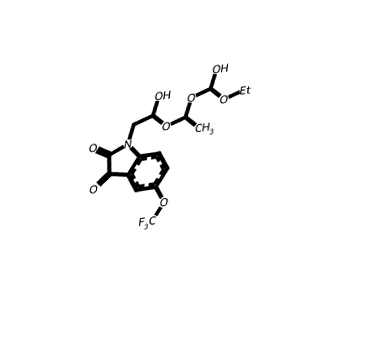 CCOC(O)OC(C)OC(O)CN1C(=O)C(=O)c2cc(OC(F)(F)F)ccc21